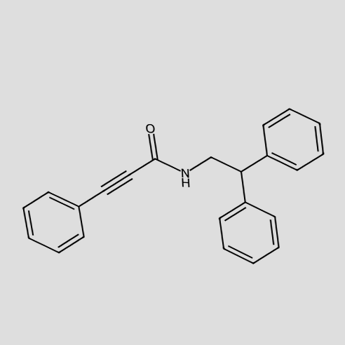 O=C(C#Cc1ccccc1)NCC(c1ccccc1)c1ccccc1